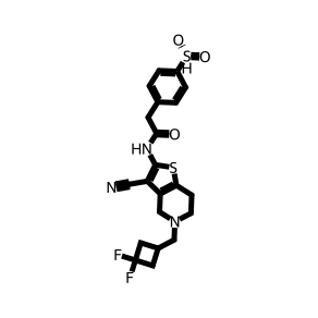 N#Cc1c(NC(=O)Cc2ccc([SH](=O)=O)cc2)sc2c1CN(CC1CC(F)(F)C1)CC2